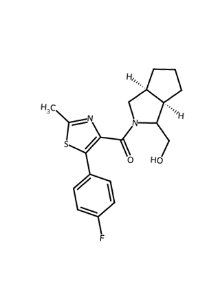 Cc1nc(C(=O)N2C[C@H]3CCC[C@H]3C2CO)c(-c2ccc(F)cc2)s1